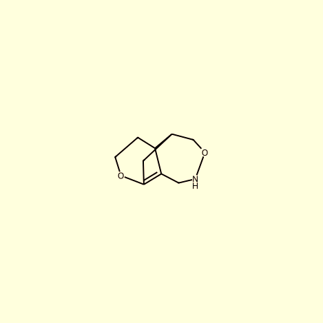 C1CC2C3=C(CC2CONC3)O1